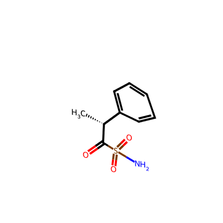 C[C@@H](C(=O)S(N)(=O)=O)c1ccccc1